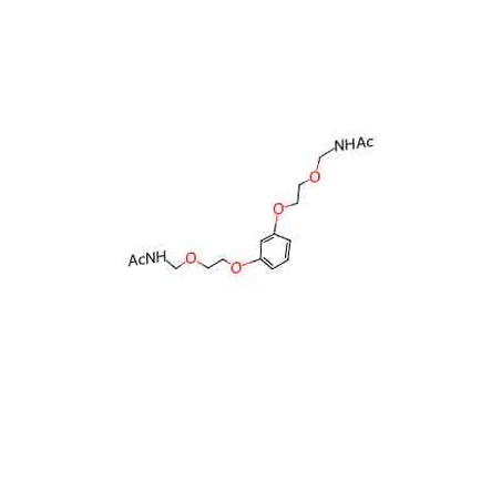 CC(=O)NCOCCOc1cccc(OCCOCNC(C)=O)c1